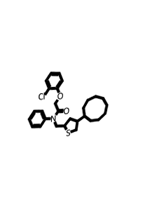 O=C(COc1ccccc1Cl)N(CC1CC(C2CCCCCCCC2)CS1)c1ccccc1